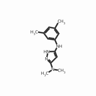 Cc1cc(C)cc(Nc2cc(N(C)C)n[nH]2)c1